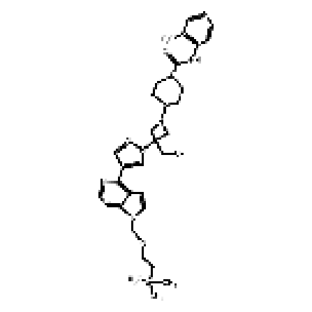 C[Si](C)(C)CCOCn1ccc2c(-c3cnn(C4(CC#N)CN(C5CCN(C(=O)Nc6ccncc6C(F)(F)F)CC5)C4)c3)ncnc21